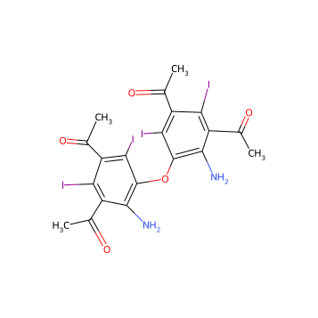 CC(=O)c1c(N)c(Oc2c(N)c(C(C)=O)c(I)c(C(C)=O)c2I)c(I)c(C(C)=O)c1I